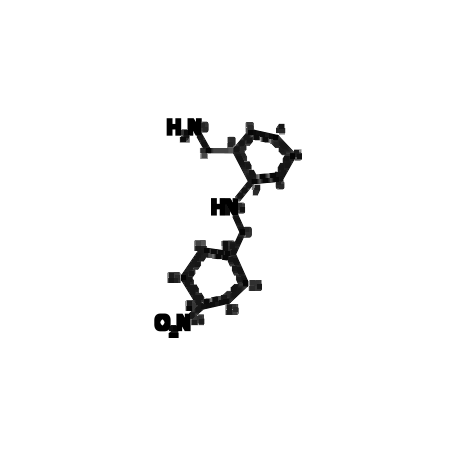 NCc1ccccc1NCc1ccc([N+](=O)[O-])cc1